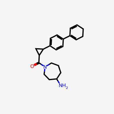 NC1CCCN(C(=O)C2CC2c2ccc(C3=CCCC=C3)cc2)CC1